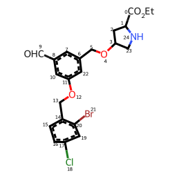 CCOC(=O)C1CC(OCc2cc(C=O)cc(OCc3ccc(Cl)cc3Br)c2)CN1